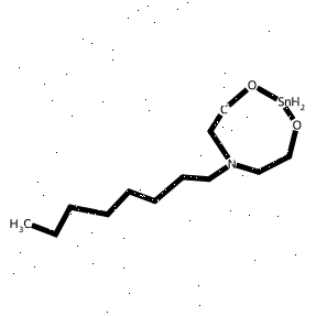 CCCCCCCCN1CC[O][SnH2][O]CC1